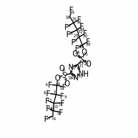 O=S(=O)(OC(F)(F)C(F)(F)C(F)(F)C(F)(F)CF)c1n[nH]c(S(=O)(=O)OC(F)(F)C(F)(F)C(F)(F)C(F)(F)CF)n1